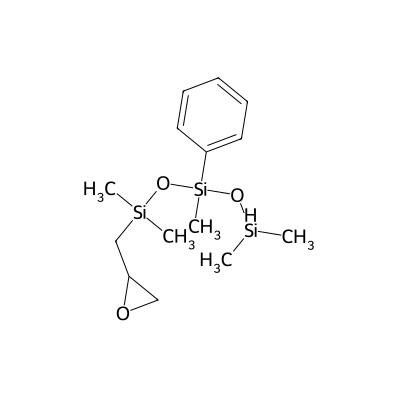 C[SiH](C)O[Si](C)(O[Si](C)(C)CC1CO1)c1ccccc1